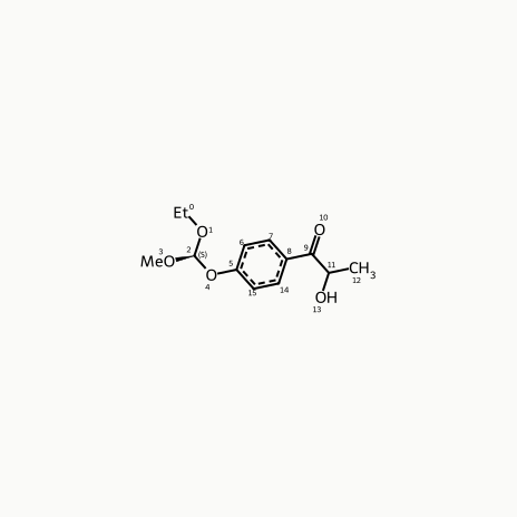 CCO[C@H](OC)Oc1ccc(C(=O)C(C)O)cc1